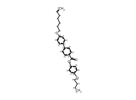 C=CCCCCCOc1ccc(-c2ccc(C(=O)Oc3ccc(OCCCC)cc3)cc2)cc1